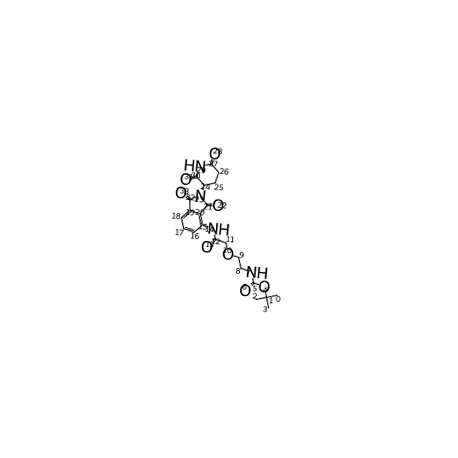 CC(C)(C)OC(=O)NCCOCC(=O)Nc1cccc2c1C(=O)N(C1CCC(=O)NC1=O)C2=O